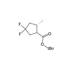 C[C@H]1CC(F)(F)CC1C(=O)OC(C)(C)C